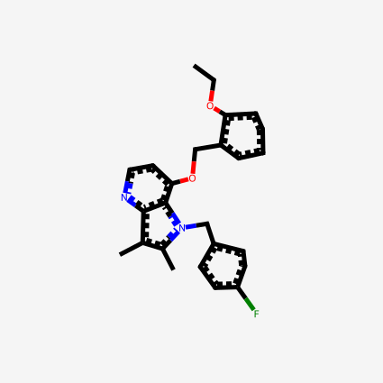 CCOc1ccccc1COc1ccnc2c(C)c(C)n(Cc3ccc(F)cc3)c12